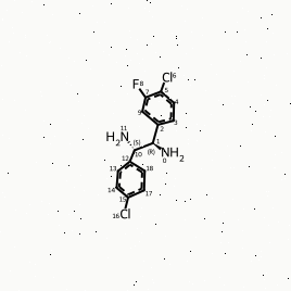 N[C@H](c1ccc(Cl)c(F)c1)[C@@H](N)c1ccc(Cl)cc1